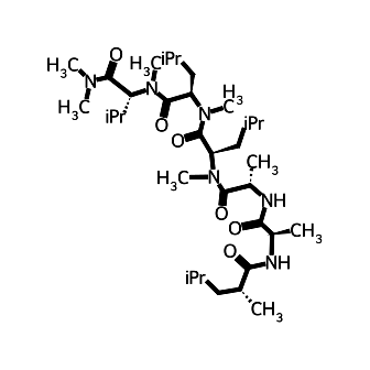 CC(C)C[C@@H](C)C(=O)N[C@H](C)C(=O)N[C@@H](C)C(=O)N(C)[C@H](CC(C)C)C(=O)N(C)[C@H](CC(C)C)C(=O)N(C)[C@@H](C(=O)N(C)C)C(C)C